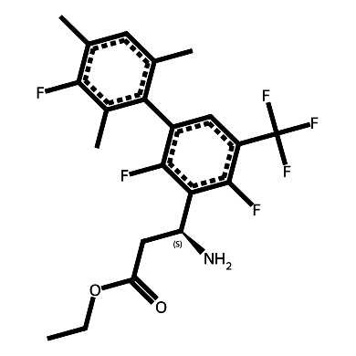 CCOC(=O)C[C@H](N)c1c(F)c(-c2c(C)cc(C)c(F)c2C)cc(C(F)(F)F)c1F